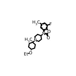 CCO[C@H]1CC[C@](C)(N2CCC(n3c(=O)oc4c(F)cc(C)cc43)CC2)CC1